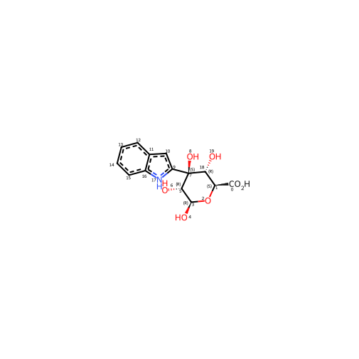 O=C(O)[C@H]1O[C@@H](O)[C@H](O)[C@](O)(c2cc3ccccc3[nH]2)[C@@H]1O